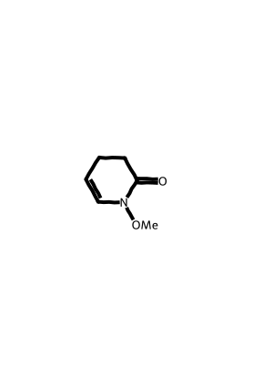 CON1C=CCCC1=O